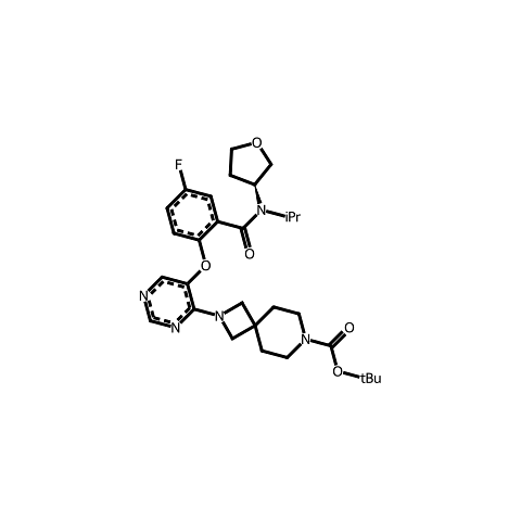 CC(C)N(C(=O)c1cc(F)ccc1Oc1cncnc1N1CC2(CCN(C(=O)OC(C)(C)C)CC2)C1)[C@H]1CCOC1